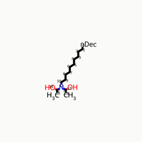 CCCCCCCCCCCCCCCCCCCCN(C(C)O)C(C)O